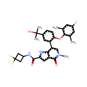 Cc1cc(F)cc(C)c1Oc1ccc(C(C)(C)O)cc1-c1cn(C)c(=O)c2cc(C(=O)NC3CC(F)(F)C3)[nH]c12